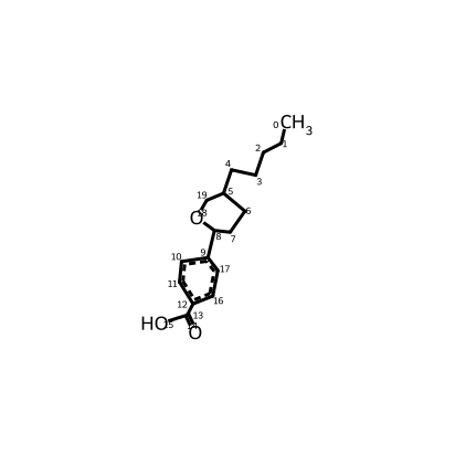 CCCCCC1CCC(c2ccc(C(=O)O)cc2)OC1